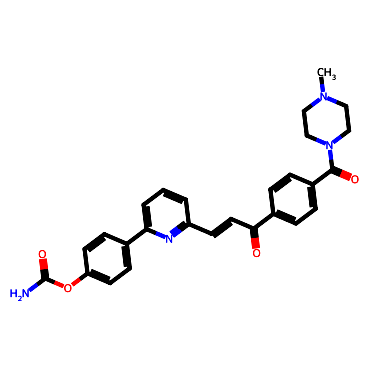 CN1CCN(C(=O)c2ccc(C(=O)C=Cc3cccc(-c4ccc(OC(N)=O)cc4)n3)cc2)CC1